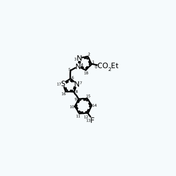 CCOC(=O)c1cnn(Cc2nc(-c3ccc(F)cc3)cs2)c1